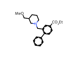 CCOC(=O)c1ccc(-c2ccccc2)c(CN2CCCC(COC)C2)c1